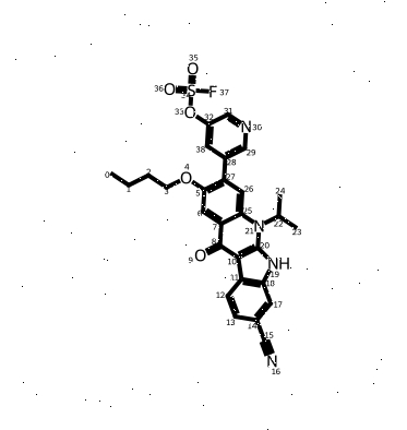 CCCCOc1cc2c(=O)c3c4ccc(C#N)cc4[nH]c3n(C(C)C)c2cc1-c1cncc(OS(=O)(=O)F)c1